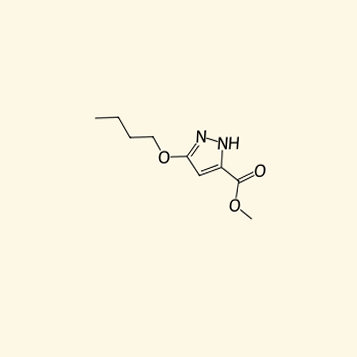 CCCCOc1cc(C(=O)OC)[nH]n1